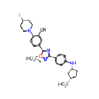 CC(=O)O.N#Cc1cc(-c2nc(-c3ccc(N[C@@H]4CC[C@H](C(=O)O)C4)cc3)no2)ccc1N1CCC(F)CC1